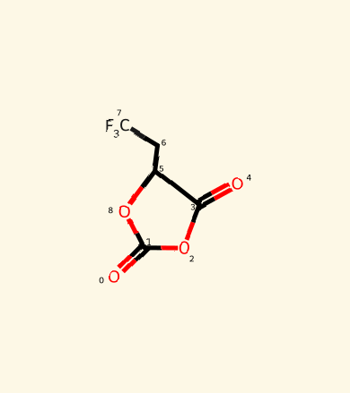 O=C1OC(=O)C(CC(F)(F)F)O1